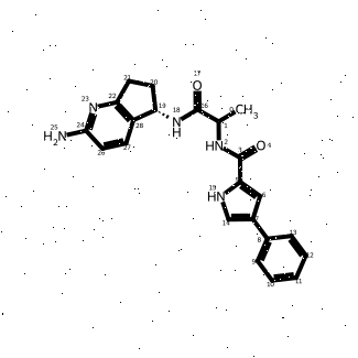 CC(NC(=O)c1cc(-c2ccccc2)c[nH]1)C(=O)N[C@H]1CCc2nc(N)ccc21